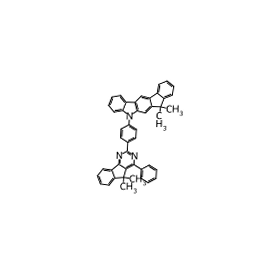 CC1(C)c2ccccc2-c2cc3c4ccccc4n(-c4ccc(-c5nc(-c6ccccc6)c6c(n5)-c5ccccc5C6(C)C)cc4)c3cc21